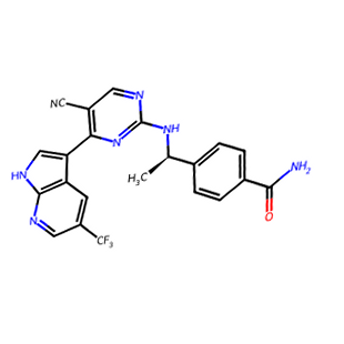 C[C@@H](Nc1ncc(C#N)c(-c2c[nH]c3ncc(C(F)(F)F)cc23)n1)c1ccc(C(N)=O)cc1